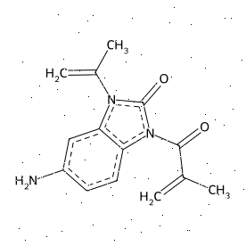 C=C(C)C(=O)n1c(=O)n(C(=C)C)c2cc(N)ccc21